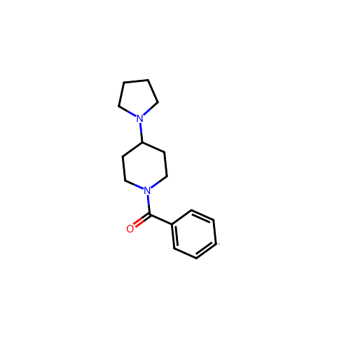 O=C(c1cc[c]cc1)N1CCC(N2CCCC2)CC1